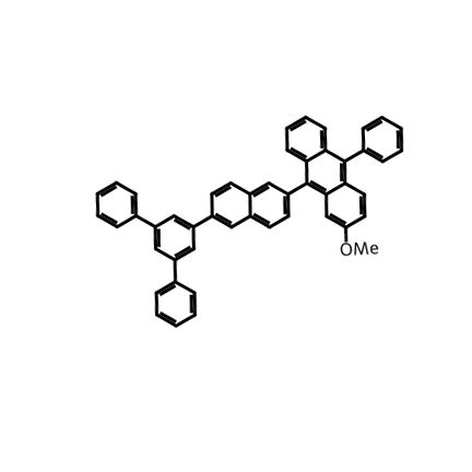 COc1ccc2c(-c3ccccc3)c3ccccc3c(-c3ccc4cc(-c5cc(-c6ccccc6)cc(-c6ccccc6)c5)ccc4c3)c2c1